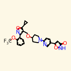 O=c1cc(-c2ccc(N3CCC(OCc4c(-c5ccccc5OC(F)(F)F)noc4C4CC4)CC3)nc2)o[nH]1